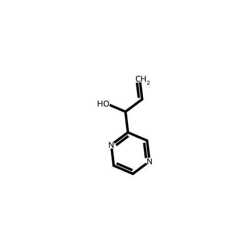 C=CC(O)c1cnccn1